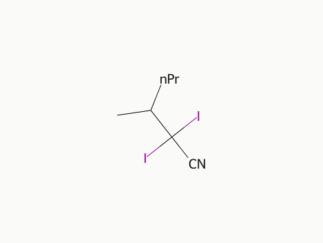 CCCC(C)C(I)(I)C#N